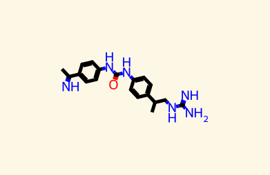 CC(=N)c1ccc(NC(=O)Nc2ccc(C(C)CNC(=N)N)cc2)cc1